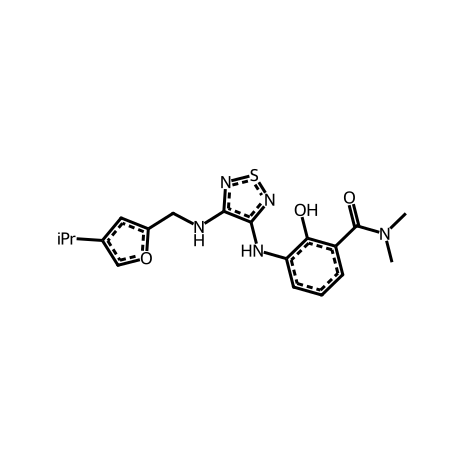 CC(C)c1coc(CNc2nsnc2Nc2cccc(C(=O)N(C)C)c2O)c1